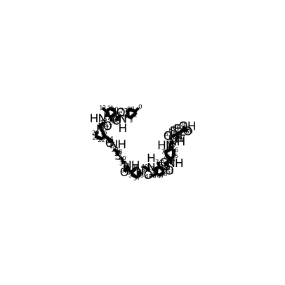 Cc1ccc(NS(=O)(=O)c2ccc(C)c(NC(=O)C[n+]3cccc(CONCCSCCNC(=O)c4ccc[n+](CC(=O)Nc5c(C)ccc(S(=O)(=O)Nc6ccc(NNC(=O)C(F)(F)C(F)(F)C(=O)O)cc6)c5C)c4)c3)c2C)cc1